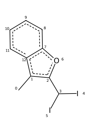 Cc1c(C(I)I)oc2ccccc12